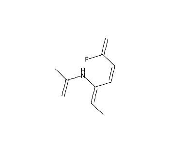 C=C(F)/C=C\C(=C/C)NC(=C)C